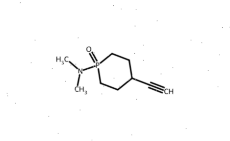 C#CC1CCP(=O)(N(C)C)CC1